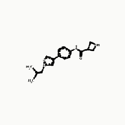 CC(C)Cn1cc(-c2ccc(NC(=O)C3CNC3)cc2)cn1